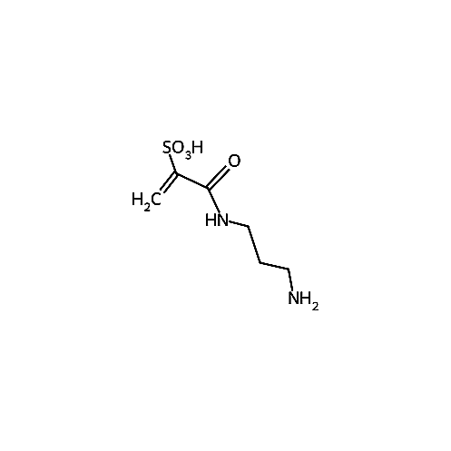 C=C(C(=O)NCCCN)S(=O)(=O)O